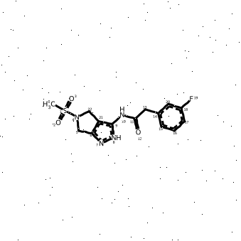 CS(=O)(=O)N1Cc2n[nH]c(NC(=O)Cc3cccc(F)c3)c2C1